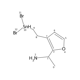 CC(N)c1occc1C[CH2][SnH]([Br])[Br]